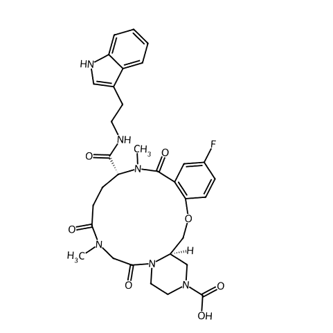 CN1CC(=O)N2CCN(C(=O)O)C[C@@H]2COc2ccc(F)cc2C(=O)N(C)[C@@H](C(=O)NCCc2c[nH]c3ccccc23)CCC1=O